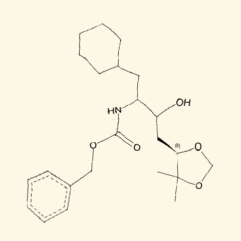 CC1(C)OCO[C@@H]1CC(O)C(CC1CCCCC1)NC(=O)OCc1ccccc1